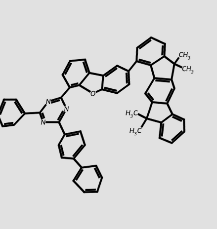 CC1(C)c2ccccc2-c2cc3c(cc21)-c1c(-c2ccc4oc5c(-c6nc(-c7ccccc7)nc(-c7ccc(-c8ccccc8)cc7)n6)cccc5c4c2)cccc1C3(C)C